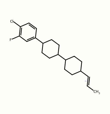 C/C=C/C1CCC(C2CCC(c3ccc(Cl)c(F)c3)CC2)CC1